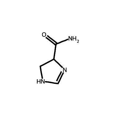 NC(=O)C1CNC=N1